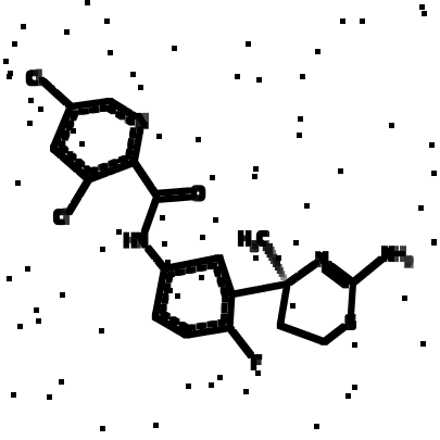 C[C@@]1(c2cc(NC(=O)c3ncc(Cl)cc3Cl)ccc2F)CCSC(N)=N1